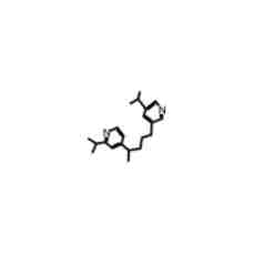 CC(C)c1cncc(CCCC(C)c2ccnc(C(C)C)c2)c1